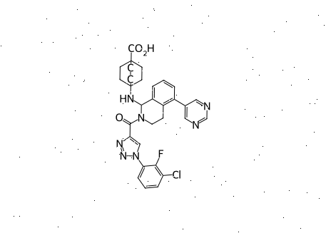 O=C(c1cn(-c2cccc(Cl)c2F)nn1)N1CCc2c(-c3cncnc3)cccc2C1NC12CCC(C(=O)O)(CC1)CC2